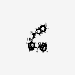 O=C(NC12CC3CC1CC(NCC(=O)N1Cc4ccc(F)cc4C1)(C3)C2)C1C2CC3CC(C2)C1C3